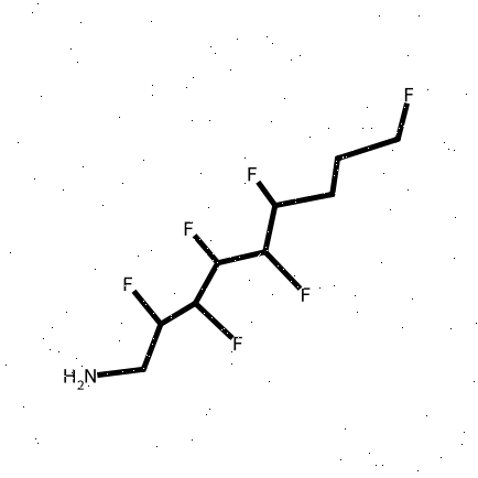 NCC(F)C(F)C(F)C(F)C(F)CCCF